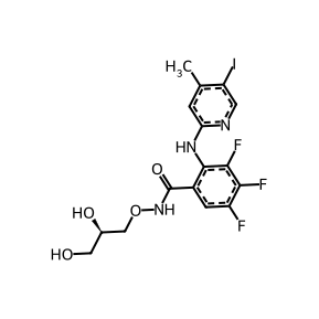 Cc1cc(Nc2c(C(=O)NOC[C@H](O)CO)cc(F)c(F)c2F)ncc1I